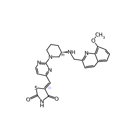 COc1cccc2ccc(CN[C@@H]3CCCN(c4nccc(/C=C5\SC(=O)NC5=O)n4)C3)nc12